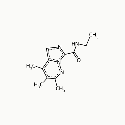 CCNC(=O)c1ncc2c(C)c(C)c(C)nn12